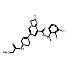 COCC(=O)NC1CC=C(C2=CN3C[C@@H](C)N=C3C(C(=O)N[C@H](C)c3cccc(C(F)(F)F)c3F)=C2)CC1